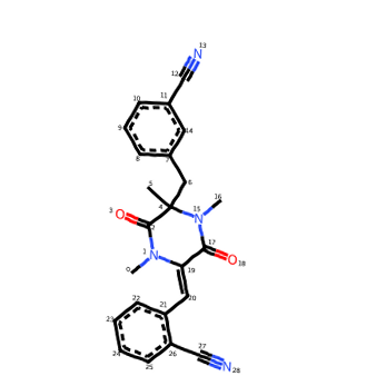 CN1C(=O)C(C)(Cc2cccc(C#N)c2)N(C)C(=O)C1=Cc1ccccc1C#N